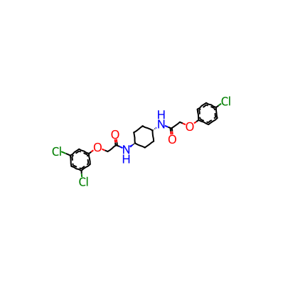 O=C(COc1ccc(Cl)cc1)N[C@H]1CC[C@H](NC(=O)COc2cc(Cl)cc(Cl)c2)CC1